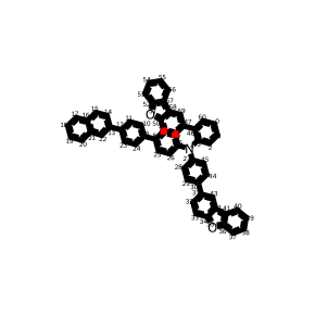 c1ccc(N(c2ccc(-c3ccc(-c4ccc5ccccc5c4)cc3)cc2)c2ccc(-c3ccc4oc5ccccc5c4c3)cc2)c(-c2ccc3oc4ccccc4c3c2)c1